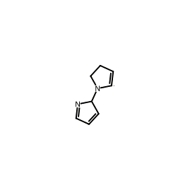 [C]1=CCCN1C1C=CC=N1